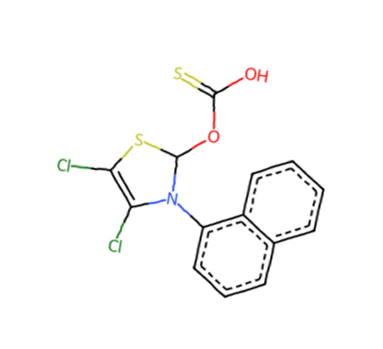 OC(=S)OC1SC(Cl)=C(Cl)N1c1cccc2ccccc12